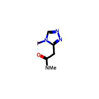 CNC(=O)Cc1nncn1I